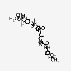 CC(C)(C)OC(=O)N[C@H]1CC[C@@H](CC(=O)Nc2ccn(CCC(F)Cn3cc(C(=O)NCc4cccc(OC(C)(F)F)c4)nn3)c(=O)c2)CC1